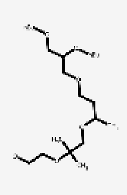 CCCCOCC(COCCC(C)OCC(C)(C)OCCO)OCCCC